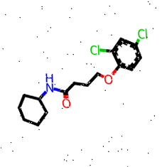 O=C(CCCOc1ccc(Cl)cc1Cl)NC1CCCCC1